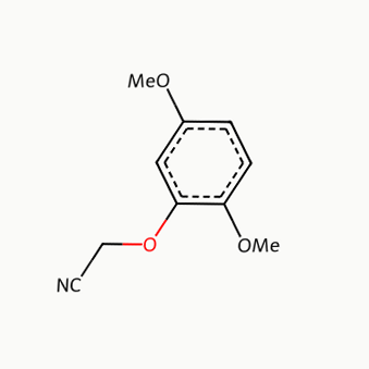 COc1ccc(OC)c(OCC#N)c1